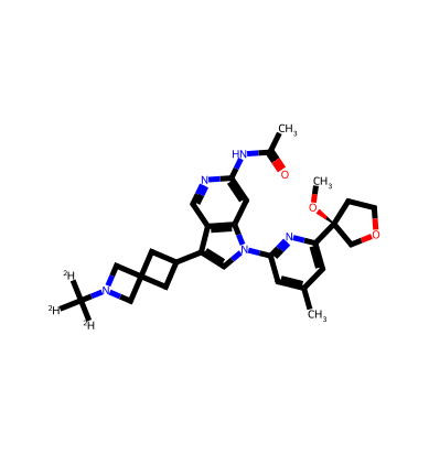 [2H]C([2H])([2H])N1CC2(CC(c3cn(-c4cc(C)cc([C@]5(OC)CCOC5)n4)c4cc(NC(C)=O)ncc34)C2)C1